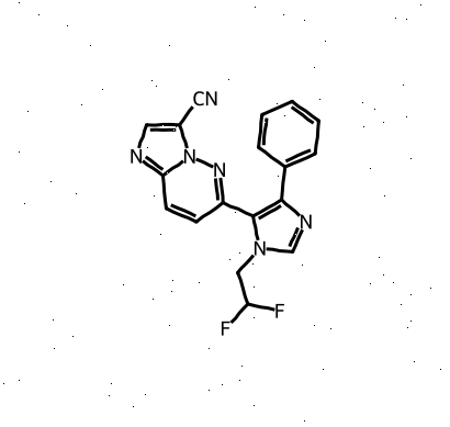 N#Cc1cnc2ccc(-c3c(-c4ccccc4)ncn3CC(F)F)nn12